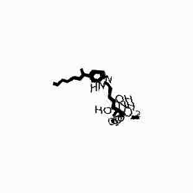 CCCCCCC(C)c1ccc2nc(CCC(O)C(O)C(N)(CS(C)(=O)=O)C(=O)OCC)[nH]c2c1